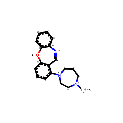 CCCCCCN1CCCN(c2cccc3c2C=Nc2ccccc2O3)CC1